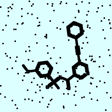 COc1cccc(S(C)(=O)=NC(=O)c2cncc(C#Cc3ccccc3)c2)c1